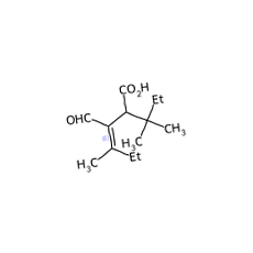 CC/C(C)=C(/C=O)C(C(=O)O)C(C)(C)CC